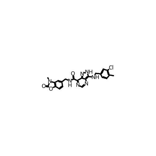 Cc1ccc(CNc2[nH]nc3c(C(=O)NCc4ccc5oc(=O)n(C)c5c4)ncnc23)cc1Cl